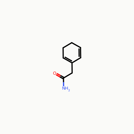 NC(=O)CC1=CCCC=C1